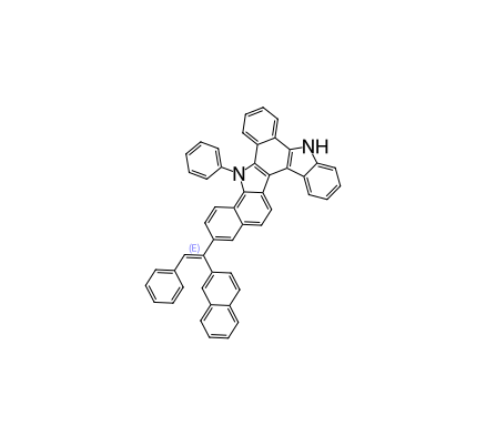 C(=C(/c1ccc2ccccc2c1)c1ccc2c(ccc3c4c5c6ccccc6[nH]c5c5ccccc5c4n(-c4ccccc4)c23)c1)/c1ccccc1